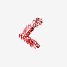 O.O.O.O.O.O.O.O.O.O.O.O.O.O.O.O.O=S(=O)(O)O